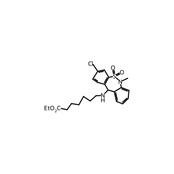 CCOC(=O)CCCCCCNC1c2ccccc2N(C)S(=O)(=O)c2cc(Cl)ccc21